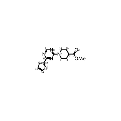 COC(=O)C1CCN(c2ncnc(-c3nccs3)n2)CC1